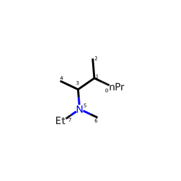 CCCC(C)C(C)N(C)CC